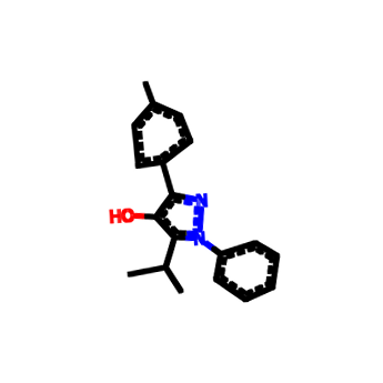 Cc1ccc(-c2nn(-c3ccccc3)c(C(C)C)c2O)cc1